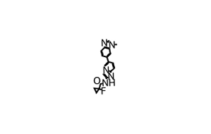 Cn1cnc2ccc(-c3ccc4nc(NC(=O)C5(F)CC5)cn4c3)cc21